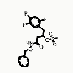 CS(=O)(=O)OC(CC(=O)NOCc1ccccc1)Cc1cc(F)c(F)cc1F